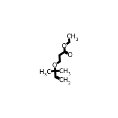 C=CC(C)(C)OCCC(=O)OCC